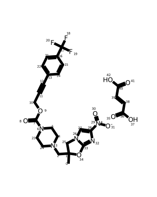 CC1(CN2CCN(C(=O)OCC#Cc3ccc(C(F)(F)F)cc3)CC2)Cn2cc([N+](=O)[O-])nc2O1.O=C(O)C=CC(=O)O